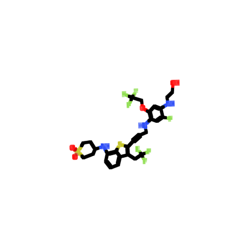 O=S1(=O)CCC(Nc2cccc3c(CC(F)(F)F)c(C#CCNc4cc(F)c(NCCO)cc4OCC(F)(F)F)sc23)CC1